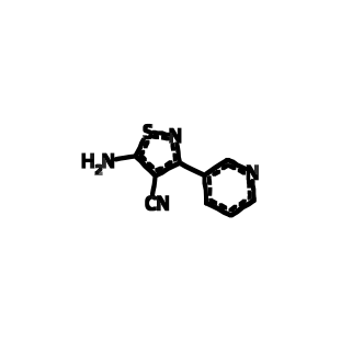 N#Cc1c(-c2cccnc2)nsc1N